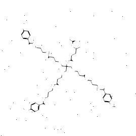 COc1ccc(C(=O)NCCCNC(=O)CCOCC(COCCC(=O)NCCCNC(=O)c2ccc(OC)cc2)(COCCC(=O)NCCCNC(=O)c2ccc(OC)cc2)NC(=O)CCC(C)NC(C)=O)cc1